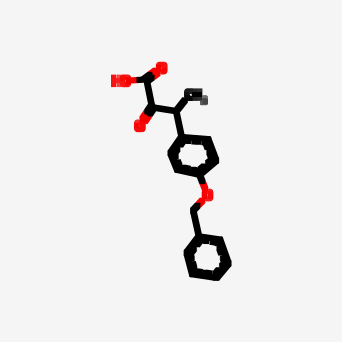 CC(C(=O)C(=O)O)c1ccc(OCc2ccccc2)cc1